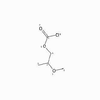 COC(C)COC(=O)Cl